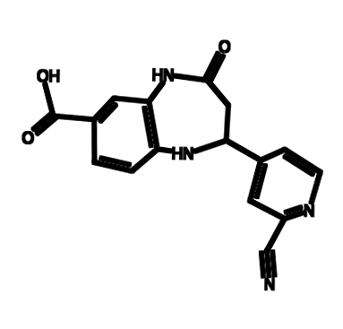 N#Cc1cc(C2CC(=O)Nc3cc(C(=O)O)ccc3N2)ccn1